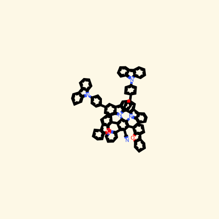 N#Cc1c(-c2ccccn2)c(-c2cccc3c2oc2ccccc23)c(-n2c3ccccc3c3cc(-c4ccc(-n5c6ccccc6c6ccccc65)cc4)ccc32)c(-n2c3ccccc3c3cc(-c4ccc(-n5c6ccccc6c6ccccc65)cc4)ccc32)c1-c1cccc2c1oc1ccccc12